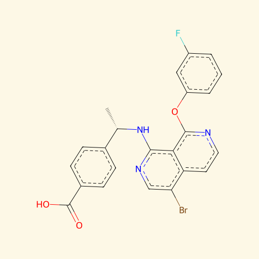 C[C@H](Nc1ncc(Br)c2ccnc(Oc3cccc(F)c3)c12)c1ccc(C(=O)O)cc1